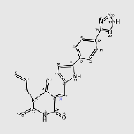 C=CCN1C(=O)/C(=C\c2ccc(-c3ccc(-c4nn[nH]n4)cc3)[nH]2)C(=O)NC1=S